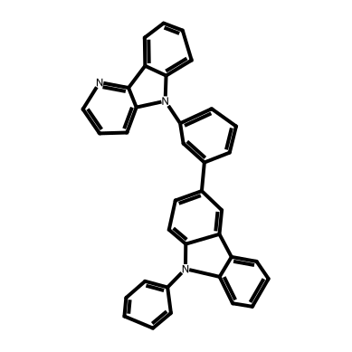 c1ccc(-n2c3ccccc3c3cc(-c4cccc(-n5c6ccccc6c6ncccc65)c4)ccc32)cc1